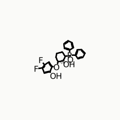 O=P(c1ccccc1)(c1ccccc1)C1CCCC(Oc2cc(F)c(F)cc2O)[C@@H]1O